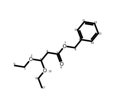 CCOC(CC(=O)OCc1ccccc1)OCC